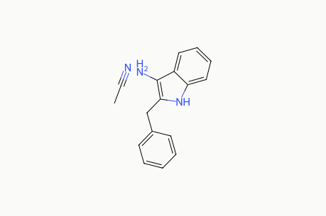 CC#N.Nc1c(Cc2ccccc2)[nH]c2ccccc12